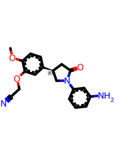 COc1ccc([C@H]2CC(=O)N(c3cccc(N)c3)C2)cc1OCC#N